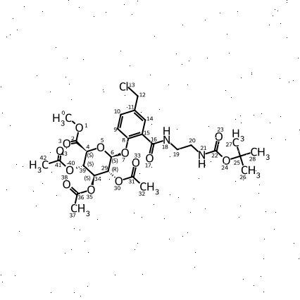 COC(=O)[C@H]1O[C@@H](Oc2ccc(CCl)cc2C(=O)NCCNC(=O)OC(C)(C)C)[C@H](OC(C)=O)[C@@H](OC(C)=O)[C@@H]1OC(C)=O